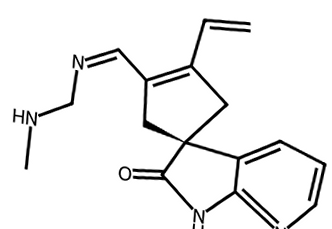 C=CC1=C(/C=N\CNC)C[C@]2(C1)C(=O)Nc1ncccc12